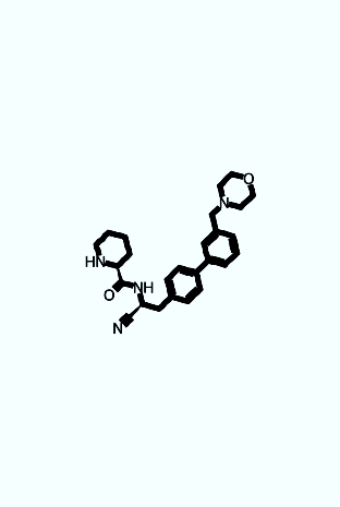 N#C[C@H](Cc1ccc(-c2cccc(CN3CCOCC3)c2)cc1)NC(=O)[C@@H]1CCCCN1